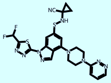 N#CC1(NSc2cc(N3CCN(c4cccnn4)CC3)c3cnn(-c4nnc(C(F)F)s4)c3c2)CC1